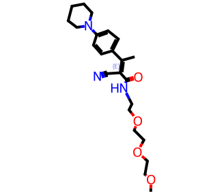 COCCOCCOCCNC(=O)/C(C#N)=C(\C)c1ccc(N2CCCCC2)cc1